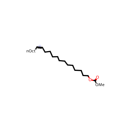 CCCCCCCC/C=C\CCCCCCCCCCCCOC(=O)OC